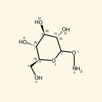 NOC1O[C@@H](CO)[C@H](O)[C@@H](O)[C@@H]1O